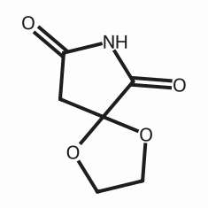 O=C1CC2(OCCO2)C(=O)N1